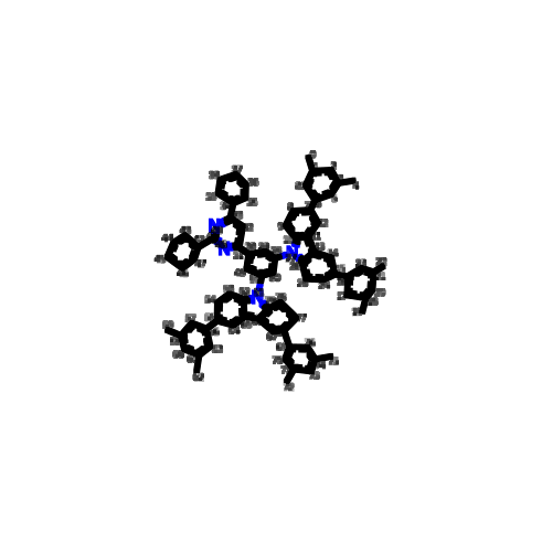 Cc1cc(C)cc(-c2ccc3c(c2)c2cc(-c4cc(C)cc(C)c4)ccc2n3-c2cc(-c3cc(-c4ccccc4)nc(-c4ccccc4)n3)cc(-n3c4ccc(-c5cc(C)cc(C)c5)cc4c4cc(-c5cc(C)cc(C)c5)ccc43)c2)c1